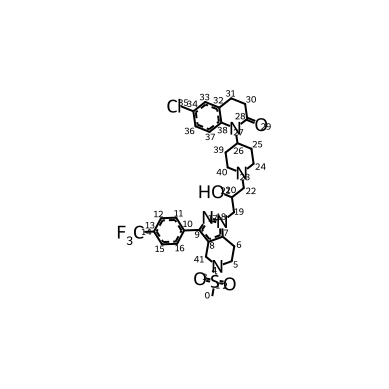 CS(=O)(=O)N1CCc2c(c(-c3ccc(C(F)(F)F)cc3)nn2CC(O)CN2CCC(N3C(=O)CCc4cc(Cl)ccc43)CC2)C1